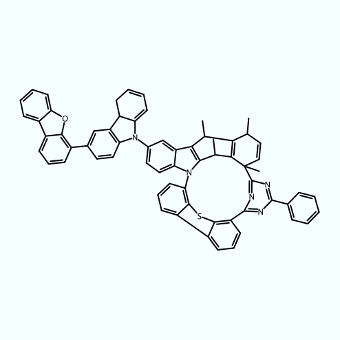 CC1C=CC2(C)C3=C1C(C)c1c(n(c4ccc(N5C6=CC=CCC6c6cc(-c7cccc8c7oc7ccccc78)ccc65)cc14)-c1cccc4c1sc1c(cccc14)-c1nc(-c4ccccc4)nc2n1)C3C